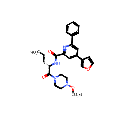 CCOC(=O)ON1CCN(C(=O)[C@H](CCC(=O)O)NC(=O)c2cc(-c3ccoc3)cc(-c3ccccc3)n2)CC1